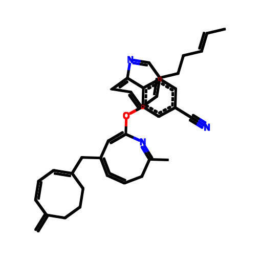 C=C1/C=C\C=C(\CC2=C=CC/C(C)=N\C(Oc3cc(C#N)ccc3C3=C\C=C\C=C(CC/C=C/C)/C=N\3)=C/2)CCC1